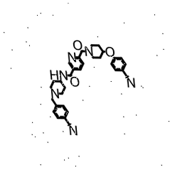 N#Cc1ccc(CN2CCC(NC(=O)c3ccc(C(=O)N4CCC(Oc5ccc(C#N)cc5)CC4)nc3)CC2)cc1